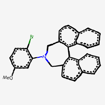 COc1ccc(Br)c(N2Cc3ccc4ccccc4c3-c3c(ccc4ccccc34)C2)c1